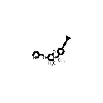 Cc1cc(OCc2cccnc2)cc(=O)n1[C@H](C)c1ccc(C#CC2CC2)cc1